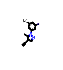 C#Cc1cnn(-c2cc(I)cc(C#N)c2)c1C